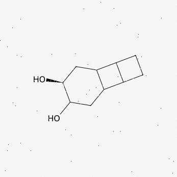 OC1CC2C3CCC3C2C[C@@H]1O